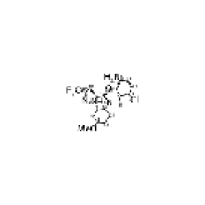 CO[C@H]1CC[C@H](N(Cc2cc(N)ccc2Cl)C(=O)c2cc(C(F)(F)F)n[nH]2)CC1